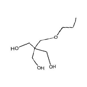 CCCOCC(CO)(CO)CO